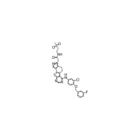 CS(=O)(=O)CCNC(=O)Cn1ncc2c1CCc1c-2sc2ncnc(Nc3ccc(OCc4cccc(F)c4)c(Cl)c3)c12